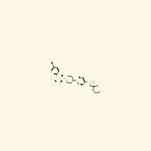 [2H]C([2H])([2H])N(c1ccc(C#N)cn1)S(=O)(=O)N1CCC(n2ncc(NC[C@]3(F)CCCOC3)c(Cl)c2=O)CC1